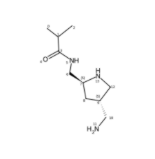 CC(C)C(=O)NC[C@@H]1C[C@@H](CN)CN1